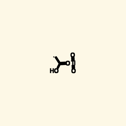 [CH2]C(=O)O.[O]=[Ti]=[O]